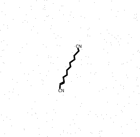 N#CC=CCCCCCCCCC#N